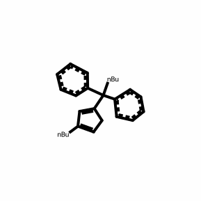 CCCCC1=CCC(C(CCCC)(c2ccccc2)c2ccccc2)=C1